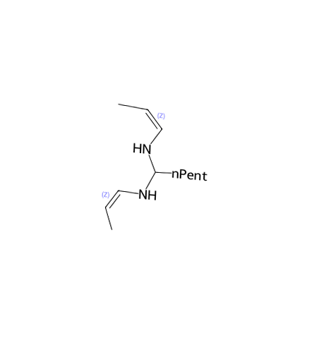 C/C=C\NC(CCCCC)N/C=C\C